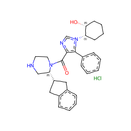 Cl.O=C(c1ncn([C@H]2CCCC[C@H]2O)c1-c1ccccc1)N1CCNC[C@H]1C1Cc2ccccc2C1